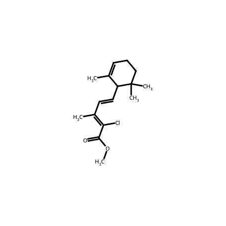 COC(=O)C(Cl)=C(C)C=CC1C(C)=CCCC1(C)C